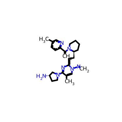 C=NN1C=C(C)C(N2CC[C@H](N)C2)=N/C1=C/C[C@@H]1CCCCN1C(=C)c1ccc(C)cn1